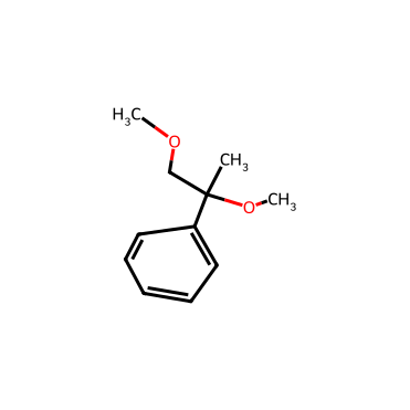 COCC(C)(OC)c1ccccc1